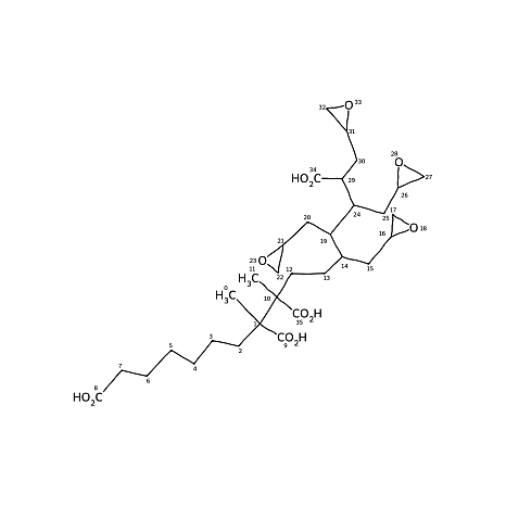 CC(CCCCCCC(=O)O)(C(=O)O)C(C)(CCC(CC1CO1)C(CC1CO1)C(CC1CO1)C(CC1CO1)C(=O)O)C(=O)O